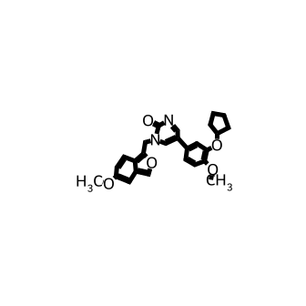 COc1ccc2c(Cn3cc(-c4ccc(OC)c(OC5CCCC5)c4)cnc3=O)occ2c1